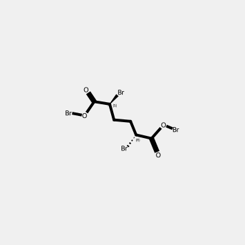 O=C(OBr)[C@H](Br)CC[C@H](Br)C(=O)OBr